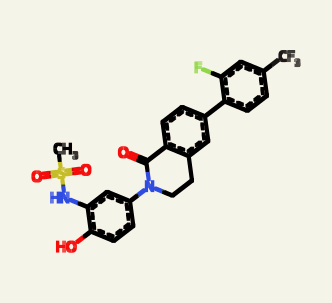 CS(=O)(=O)Nc1cc(N2CCc3cc(-c4ccc(C(F)(F)F)cc4F)ccc3C2=O)ccc1O